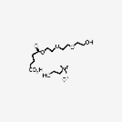 C[N+](C)(C)CCO.O=C(O)CCCC(=O)OCCOCCOCCO.[O-2]